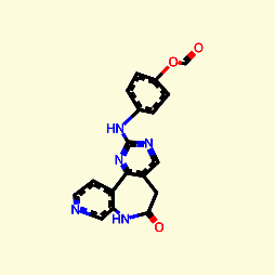 O=COc1ccc(Nc2ncc3c(n2)-c2ccncc2NC(=O)C3)cc1